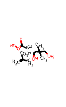 C=C(C)C(=O)O.CC(C)(C)C(=O)OO.CC(C)(CO)CO